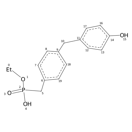 CCOP(=O)(O)Cc1ccc(Cc2ccc(O)cc2)cc1